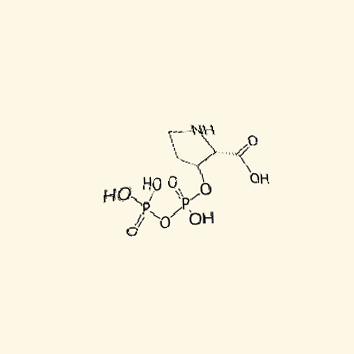 O=C(O)[C@H]1NCCC1OP(=O)(O)OP(=O)(O)O